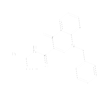 CC(C)[C@H](NC(=O)c1cn(Cc2ccccc2)c2ccccc2c1=O)C(=O)O